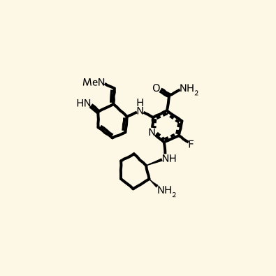 CN/C=C1\C(=N)C=CC=C1Nc1nc(N[C@@H]2CCCC[C@@H]2N)c(F)cc1C(N)=O